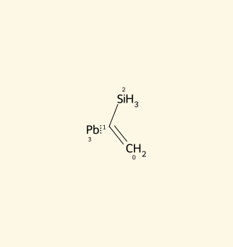 C=C[SiH3].[Pb]